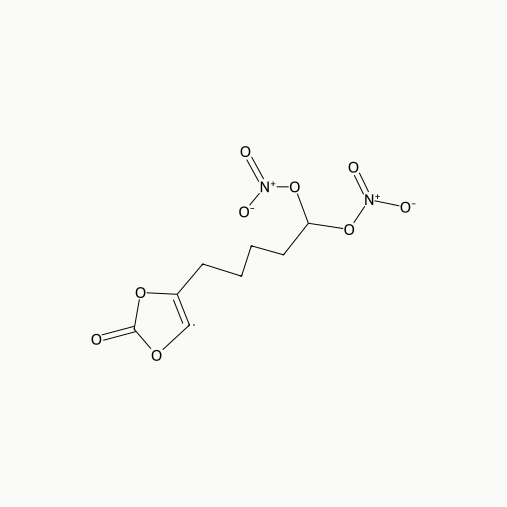 O=c1o[c]c(CCCCC(O[N+](=O)[O-])O[N+](=O)[O-])o1